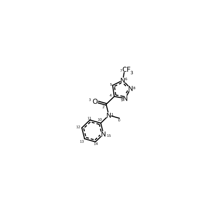 CN(C(=O)c1cn(C(F)(F)F)nn1)c1ccccn1